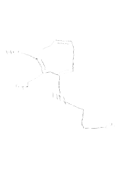 O=[N+]([O-])c1c(O)cccc1NCCO